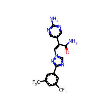 NC(=O)/C(=C\n1cnc(-c2cc(C(F)(F)F)cc(C(F)(F)F)c2)n1)c1cnc(N)nc1